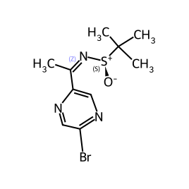 C/C(=N/[S@+]([O-])C(C)(C)C)c1cnc(Br)cn1